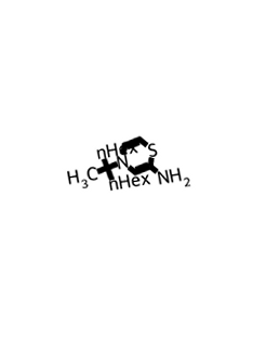 CCCCCCC(C)(CCCCCC)N1C=CSC(N)=C1